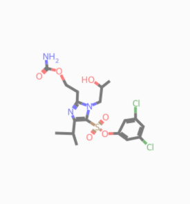 CC(O)Cn1c(CCOC(N)=O)nc(C(C)C)c1S(=O)(=O)Oc1cc(Cl)cc(Cl)c1